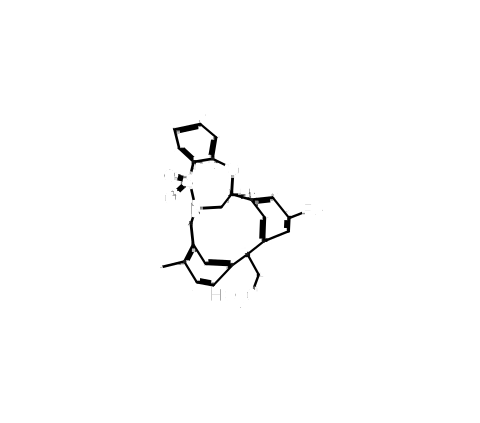 Cc1ccc2cc1CN1C[C@H](Oc3ccccc3S1(=O)=O)c1cc(F)cc(c1)C2CC(=O)O